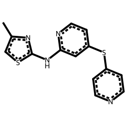 Cc1csc(Nc2cc(Sc3ccncc3)ccn2)n1